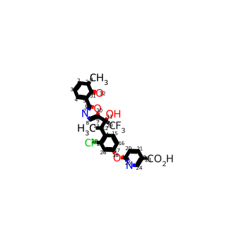 CC1C=CC=C(c2ncc(C(O)(C(C)c3ccc(Oc4ccc(C(=O)O)cn4)cc3Cl)C(F)(F)F)o2)C1=O